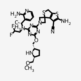 COC[C@@H]1CC[C@@H](COc2nc(N3CC4(C3)SCc3sc(N)c(C#N)c34)nc(N(CC(F)F)[C@H](C)c3cccnc3N)n2)N1